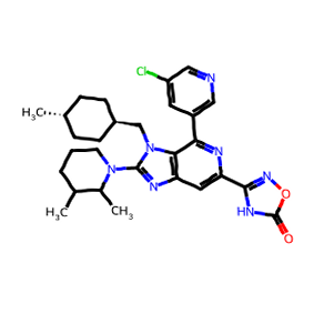 CC1CCCN(c2nc3cc(-c4noc(=O)[nH]4)nc(-c4cncc(Cl)c4)c3n2C[C@H]2CC[C@H](C)CC2)C1C